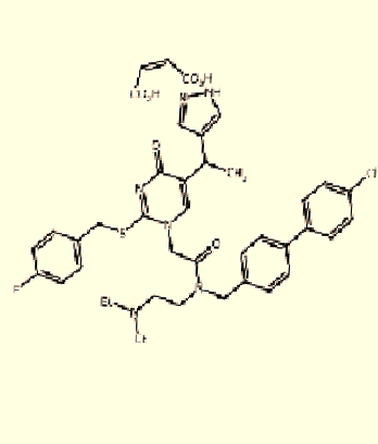 CCN(CC)CCN(Cc1ccc(-c2ccc(Cl)cc2)cc1)C(=O)Cn1cc(C(C)c2cn[nH]c2)c(=O)nc1SCc1ccc(F)cc1.O=C(O)/C=C\C(=O)O